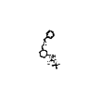 CC(C)(C)OC(=O)N[C@@H]1CCCC(COCc2ccccc2)C1